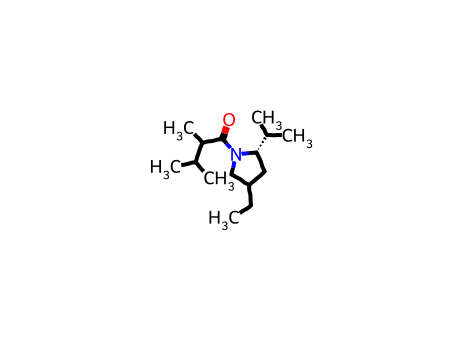 CCC1C[C@@H](C(C)C)N(C(=O)C(C)C(C)C)C1